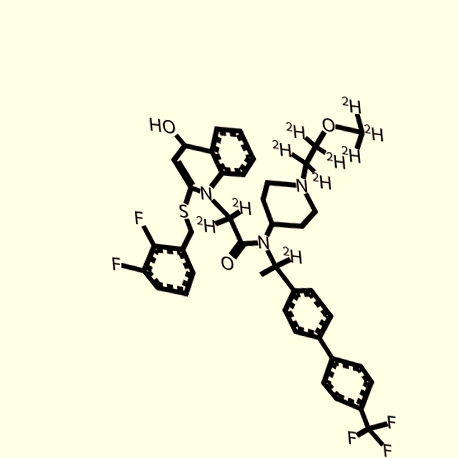 [2H]C([2H])([2H])OC([2H])([2H])C([2H])([2H])N1CCC(N(C(=O)C([2H])([2H])N2C(SCc3cccc(F)c3F)=CC(O)c3ccccc32)C([2H])(C)c2ccc(-c3ccc(C(F)(F)F)cc3)cc2)CC1